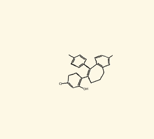 Cc1ccc(C2=C(C3=C(O)C=C(Cl)CC3)CCCc3cc(C)ccc32)cc1